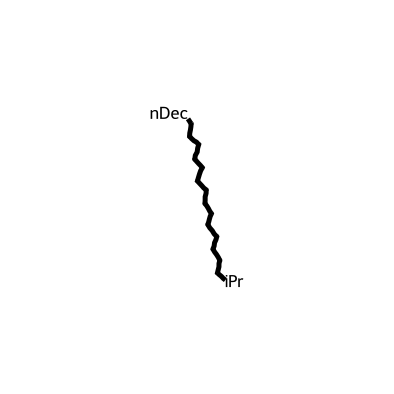 [CH2]CCCCCCCCCCCCCCCCCCCCCCCC(C)C